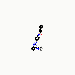 CN(C)c1nc(NC[C@H]2CC[C@H](CNS(=O)(=O)c3ccc(-c4ccccc4)cc3)CC2)nc2ccccc12